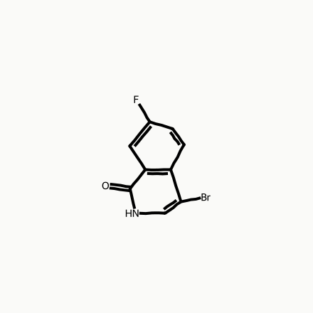 O=c1[nH]cc(Br)c2ccc(F)cc12